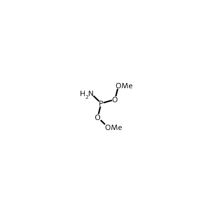 COOP(N)OOC